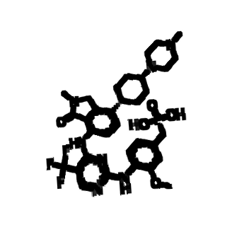 COc1cc(CP(=O)(O)O)ccc1Nc1ncc(C(F)(F)F)c(Nc2ccc([C@H]3CC[C@H](N4CCN(C)CC4)CC3)c3c2C(=O)N(C)C3)n1